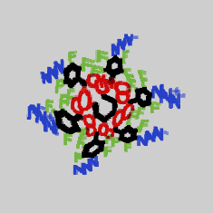 [N-]=[N+]=Nc1c(F)c(F)c(C(=O)OCC(OC(=O)c2c(F)c(F)c(N=[N+]=[N-])c(F)c2F)C(OC(=O)c2c(F)c(F)c(N=[N+]=[N-])c(F)c2F)C(OC(=O)c2c(F)c(F)c(N=[N+]=[N-])c(F)c2F)C(COC(O)c2c(F)c(F)c(N=[N+]=[N-])c(F)c2F)OC(=O)c2c(F)c(F)c(N=[N+]=[N-])c(F)c2F)c(F)c1F